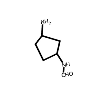 NC1CCC(NC=O)C1